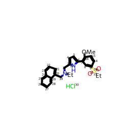 CCN(Cc1ccc(-c2cc(S(=O)(=O)CC)ccc2OC)[nH]1)Cc1cccc2ccccc12.Cl